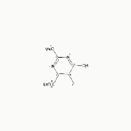 CCOC(=O)c1nc(OC)nc(O)c1C